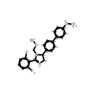 CCOCN1C(c2c(F)cccc2F)=NCC1c1ccc(-c2ccc(OC(F)(F)F)cc2)cc1